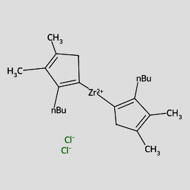 CCCCC1=[C]([Zr+2][C]2=C(CCCC)C(C)=C(C)C2)CC(C)=C1C.[Cl-].[Cl-]